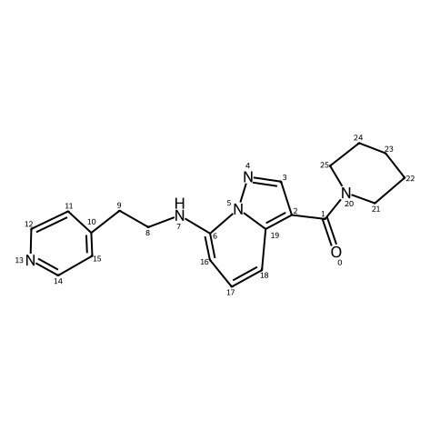 O=C(c1cnn2c(NCCc3ccncc3)cccc12)N1CCCCC1